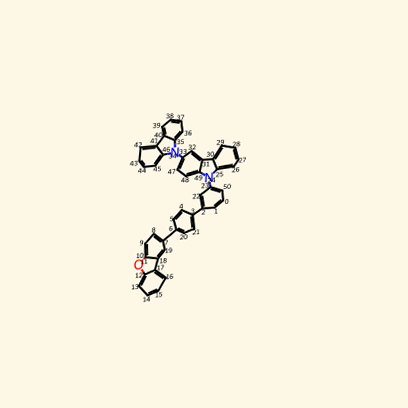 c1cc(-c2ccc(-c3ccc4oc5ccccc5c4c3)cc2)cc(-n2c3ccccc3c3cc(-n4c5ccccc5c5ccccc54)ccc32)c1